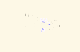 CC1=CC(c2cc(C)ccc2Cc2cc(N)c(C3c4ccc(C)cc4-c4cc(C)ccc43)cc2C#N)C(C)C=C1